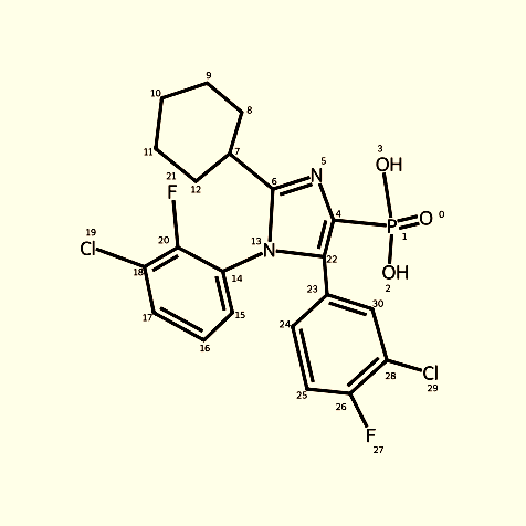 O=P(O)(O)c1nc(C2CCCCC2)n(-c2cccc(Cl)c2F)c1-c1ccc(F)c(Cl)c1